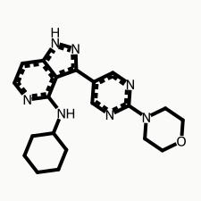 c1cc2[nH]nc(-c3cnc(N4CCOCC4)nc3)c2c(NC2CCCCC2)n1